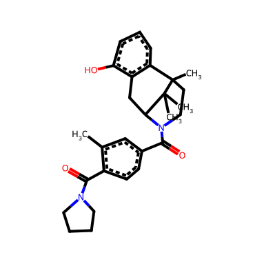 Cc1cc(C(=O)N2CCC3(C)c4cccc(O)c4CC2C3(C)C)ccc1C(=O)N1CCCC1